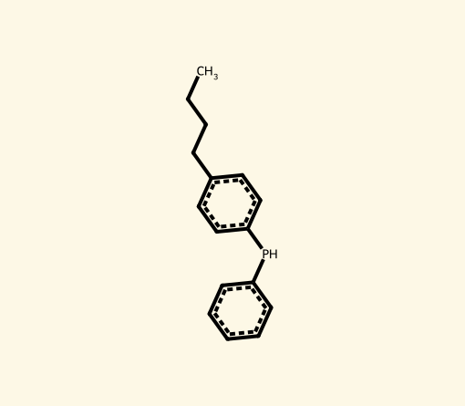 CCCCc1ccc(Pc2ccccc2)cc1